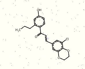 CCCc1cc(O)ccc1C(=O)/C=C/c1cc(Cl)c2c(c1)OCCO2